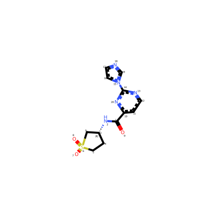 O=C(N[C@@H]1CCS(=O)(=O)C1)c1ccnc(-n2ccnc2)n1